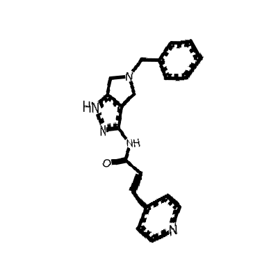 O=C(C=Cc1ccncc1)Nc1n[nH]c2c1CN(Cc1ccccc1)C2